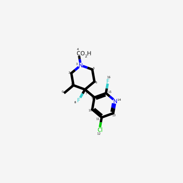 CC1CN(C(=O)O)CCC1(F)c1cc(Cl)cnc1F